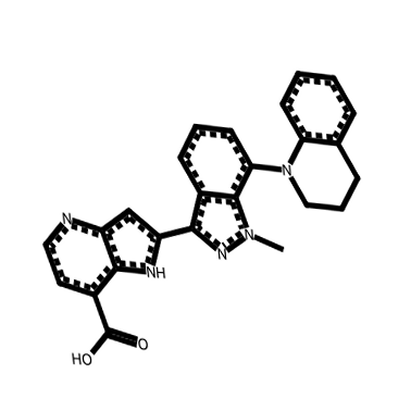 Cn1nc(-c2cc3nccc(C(=O)O)c3[nH]2)c2cccc(N3CCCc4ccccc43)c21